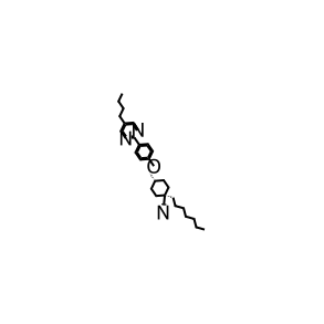 CCCCCCC[C@]1(C#N)CC[C@H](COc2ccc(-c3ncc(CCCC)cn3)cc2)CC1